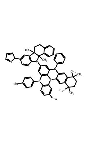 CC(C)(C)c1ccc(N2c3ccc(C(C)(C)C)cc3B3c4cc5c(cc4N(c4ccccc4)c4cc(N6c7ccc(C8C=CC=N8)cc7C7(C)CCc8ccccc8C67C)cc2c43)C(C)(C)CCC5(C)C)cc1